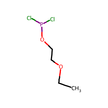 CCOCCOP(Cl)Cl